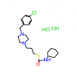 Cl.Cl.O=C(NC1CCCCC1)SCCCN1CCN(Cc2ccc(Cl)cc2)CC1